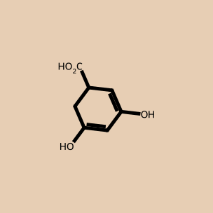 O=C(O)C1C=C(O)C=C(O)C1